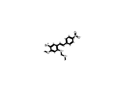 COCOc1cc(OC)c(Br)cc1C=Cc1ccc([N+](=O)[O-])cc1